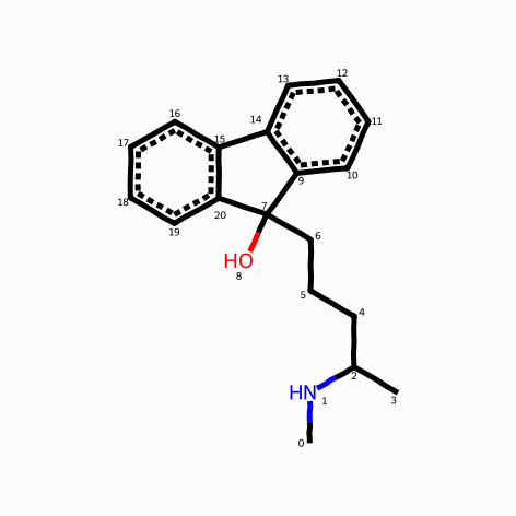 CNC(C)CCCC1(O)c2ccccc2-c2ccccc21